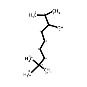 CC(C)C(O)CCCCC(C)(C)C